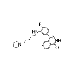 O=c1[nH]nc(-c2ccc(F)c(NCCCCCN3CCCC3)c2)c2ccccc12